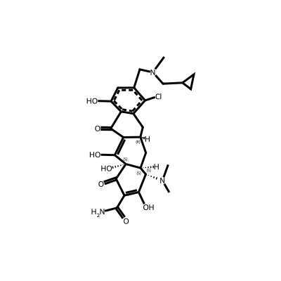 CN(Cc1cc(O)c2c(c1Cl)C[C@H]1C[C@H]3[C@H](N(C)C)C(O)=C(C(N)=O)C(=O)[C@@]3(O)C(O)=C1C2=O)CC1CC1